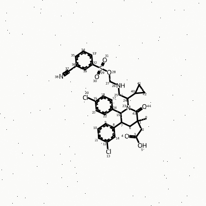 CC1(CC(=O)O)CC(c2cccc(Cl)c2)C(c2ccc(Cl)cc2)N(C(CNCOS(=O)(=O)c2cccc(C#N)c2)C2CC2)C1=O